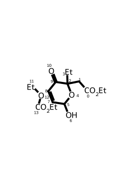 CCOC(=O)CC1(CC)OC(O)C=CC1=O.CCOC(=O)OCC